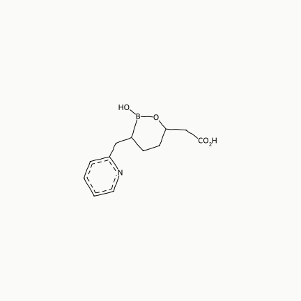 O=C(O)CC1CCC(Cc2ccccn2)B(O)O1